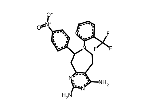 Nc1nc(N)c2c(n1)CC(c1ccc([N+](=O)[O-])cc1)N(c1ncccc1C(F)(F)F)CC2